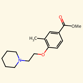 COC(=O)c1ccc(OCCN2CCCCC2)c(C)c1